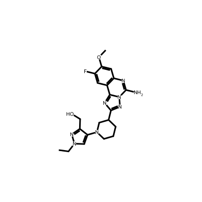 CCn1cc(N2CCCC(c3nc4c5cc(F)c(OC)cc5nc(N)n4n3)C2)c(CO)n1